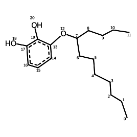 CCCCCCCC(CCCC)Oc1cccc(O)c1O